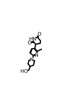 Cc1nc(N2CCC(CO)CC2)ccc1C1CCC(=O)NC1=O